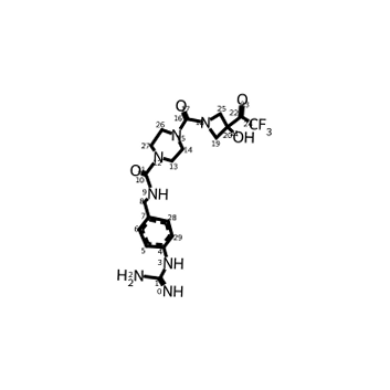 N=C(N)Nc1ccc(CNC(=O)N2CCN(C(=O)N3CC(O)(C(=O)C(F)(F)F)C3)CC2)cc1